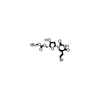 CC(C)(C)OC(=O)OC[C@H]1O[C@@H](n2cc(/C=C/Br)c(=O)[nH]c2=O)C[C@@H]1O